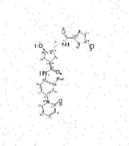 O=C(NC[C@@H]1C[C@@H](C(=O)Nc2ccc(-n3ccccc3=O)cc2F)C[C@H]1O)c1ccc(Cl)s1